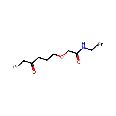 CC(C)CNC(=O)COCCCC(=O)CC(C)C